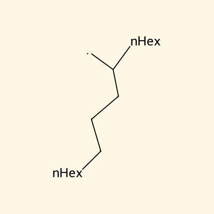 [CH2]C(CCCCCC)CCCCCCCCC